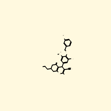 CCCC1CC(=O)C2=C(C1)NC(C)=C(C#N)C2c1cc(Br)c(OCc2cccc(OC)c2)c(N(C)C)c1